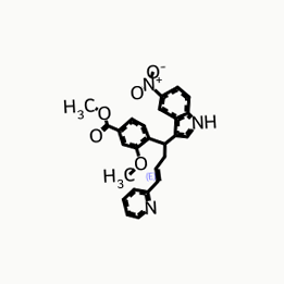 COC(=O)c1ccc(C(C/C=C/c2ccccn2)c2c[nH]c3ccc([N+](=O)[O-])cc23)c(OC)c1